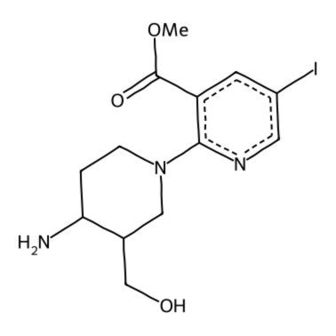 COC(=O)c1cc(I)cnc1N1CCC(N)C(CO)C1